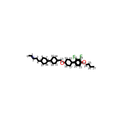 C/C=C/CCC1CCC(C2CCC(COC3CCC(c4ccc(OCCCC)c(F)c4F)CC3)CC2)CC1